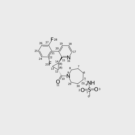 CS(=O)(=O)N[C@H]1CCCN(C(=O)[C@@H]2C[C@H]2c2ncccc2-c2c(F)cccc2F)CC1